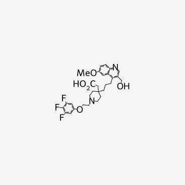 COc1ccc2ncc(CO)c(CCCC3(CC(=O)O)CCN(CCOc4cc(F)c(F)c(F)c4)CC3)c2c1